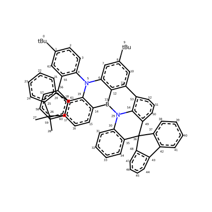 CC(C)(C)c1ccc(N2c3cc(C(C)(C)C)cc4c3B(c3ccc5c(c32)-c2ccccc2C5(C)C)N2c3ccccc3C3(c5ccccc5-c5ccccc53)c3cccc-4c32)c(-c2ccccc2)c1